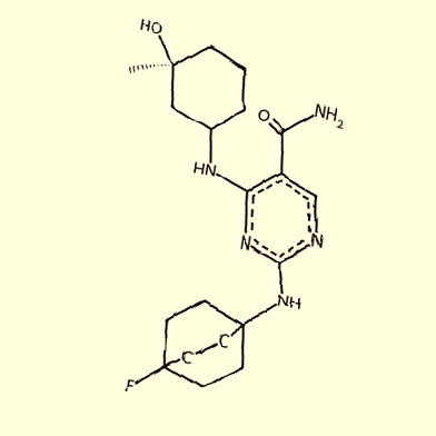 C[C@]1(O)CCCC(Nc2nc(NC34CCC(F)(CC3)CC4)ncc2C(N)=O)C1